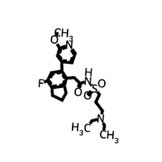 CCN(CC)CCCS(=O)(=O)NC(=O)Cc1c(-c2ccnc(OC)c2)cc(F)c2c1CCC2